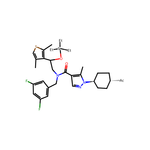 CC[Si](CC)(CC)OC(CN(Cc1cc(F)cc(F)c1)C(=O)c1cnn([C@H]2CC[C@H](C(C)=O)CC2)c1C)c1c(C)csc1C